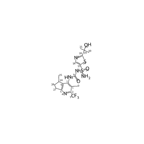 Cc1c(C(F)(F)F)nc2c(c1NC(=O)N=S(N)(=O)c1cnc(C(C)(C)O)s1)C(C)CC2